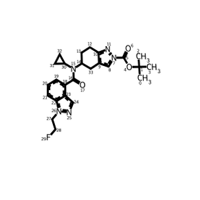 CC(C)(C)OC(=O)n1cc2c(n1)CCC(N(C(=O)c1cccc3c1cnn3CCF)C1CC1)C2